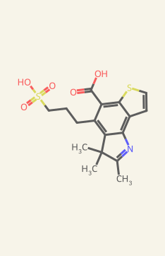 CC1=Nc2c(c(CCCS(=O)(=O)O)c(C(=O)O)c3sccc23)C1(C)C